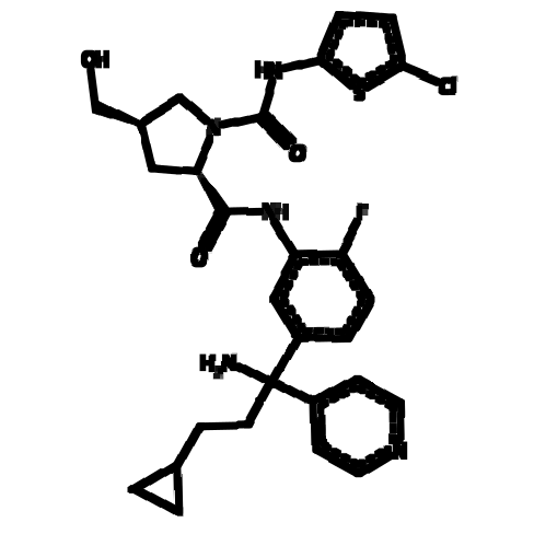 NC(CCC1CC1)(c1ccncc1)c1ccc(F)c(NC(=O)[C@H]2C[C@@H](CO)CN2C(=O)Nc2ccc(Cl)s2)c1